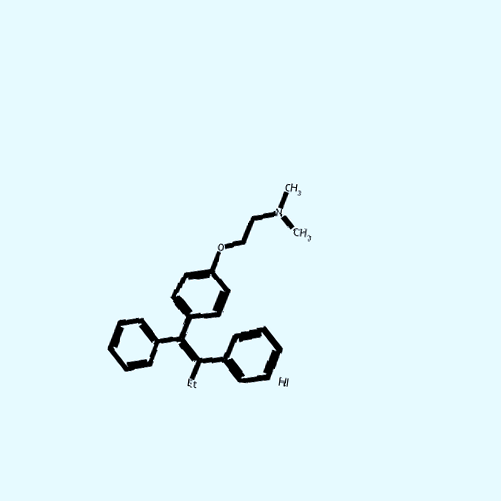 CC/C(=C(\c1ccccc1)c1ccc(OCCN(C)C)cc1)c1ccccc1.I